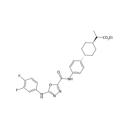 CCOC(=O)C(C)[C@H]1CC[C@H](c2ccc(NC(=O)c3nnc(Nc4ccc(F)c(F)c4)o3)cc2)CC1